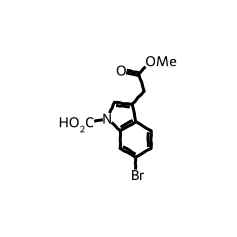 COC(=O)Cc1cn(C(=O)O)c2cc(Br)ccc12